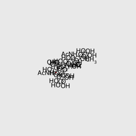 CC(=O)N[C@H]1[C@H](O[C@@H]2[C@H](O[C@]3(C(=O)O)C[C@H](O)[C@@H](NC(C)=O)[C@H]([C@H](O)[C@H](O)CO)O3)[C@@H](O)[C@H](O[C@H]3[C@H](O)[C@@H](O)[C@H](O)O[C@@H]3CO)O[C@@H]2CO)O[C@H](CO)[C@H](O)[C@@H]1O[C@@H]1O[C@H](CO)[C@H](O)[C@H](O[C@@H]2O[C@H](CO)[C@@H](O)[C@H](O[C@@H]3O[C@@H](C)[C@@H](O)[C@@H](O)[C@@H]3O)[C@H]2NC(C)=O)[C@H]1O